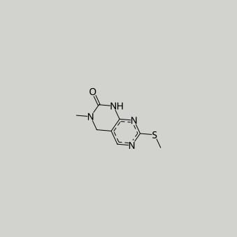 CSc1ncc2c(n1)NC(=O)N(C)C2